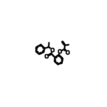 C=C(C)C(=O)Oc1ccccc1C(=O)OC(C)c1ccccc1